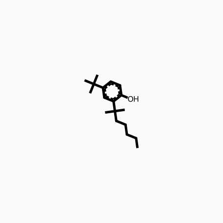 CCCCCC(C)(C)c1cc(C(C)(C)C)ccc1O